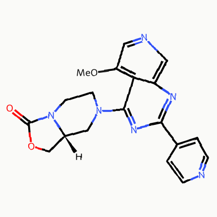 COc1cncc2nc(-c3ccncc3)nc(N3CCN4C(=O)OC[C@H]4C3)c12